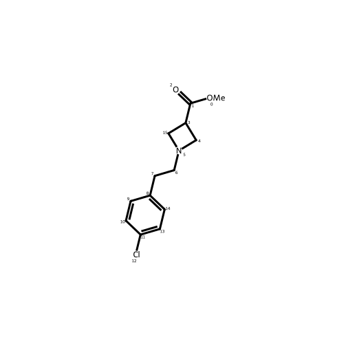 COC(=O)C1CN(CCc2ccc(Cl)cc2)C1